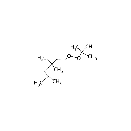 CC(C)CC(C)(C)CCOOC(C)(C)C